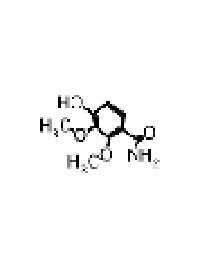 COc1c(O)ccc(C(N)=O)c1OC